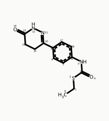 CCSC(=O)Nc1ccc(C2=NNC(=O)CC2)cc1